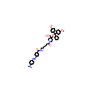 COc1ccc(C(OCC2(CO)CCN(C(=O)CCCCCNC(=O)c3ccc(/N=N/c4ccc(N(C)C)cc4)cc3)CC2)(c2ccccc2)c2ccc(OC)cc2)cc1